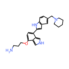 NCCCOc1ccc(-c2cc3cc(CN4CCCCC4)ccc3[nH]2)c2c[nH]cc12